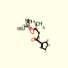 C[C@H](CC(=O)C1=CCCC1)O[SiH](C)C(C)(C)C